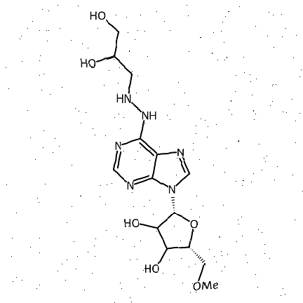 COC[C@H]1O[C@@H](n2cnc3c(NNCC(O)CO)ncnc32)C(O)C1O